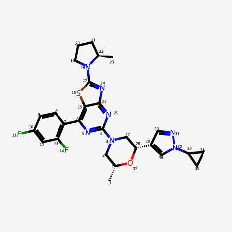 C[C@@H]1CN(c2nc(-c3ccc(F)cc3F)c3sc(N4CCC[C@H]4C)nc3n2)C[C@H](c2cnn(C3CC3)c2)O1